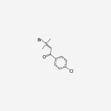 C[S](C)(Br)=CC(=O)c1ccc(Cl)cc1